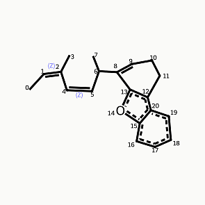 C/C=C(C)\C=C/C(C)C1=CCCc2c1oc1ccccc21